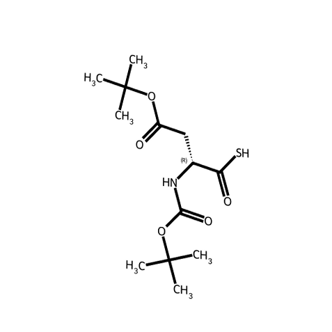 CC(C)(C)OC(=O)C[C@@H](NC(=O)OC(C)(C)C)C(=O)S